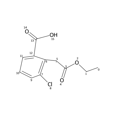 CCOC(=O)[CH]c1c(Cl)cccc1C(=O)O